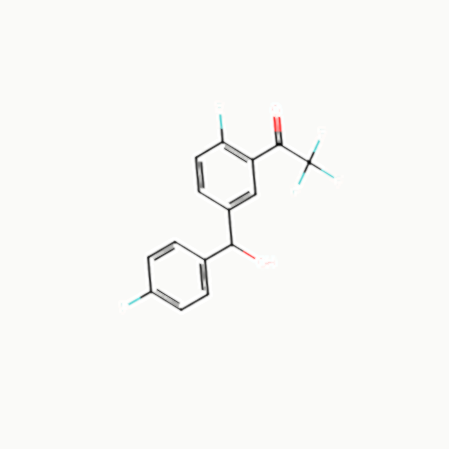 O=C(c1cc(C(O)c2ccc(F)cc2)ccc1F)C(F)(F)F